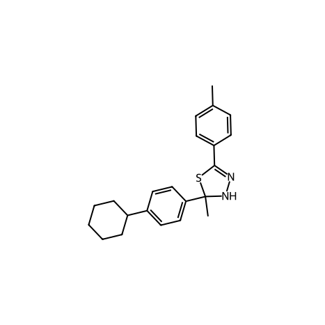 Cc1ccc(C2=NNC(C)(c3ccc(C4CCCCC4)cc3)S2)cc1